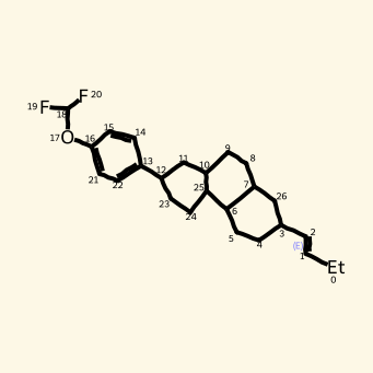 CC/C=C/C1CCC2C(CCC3CC(c4ccc(OC(F)F)cc4)CCC32)C1